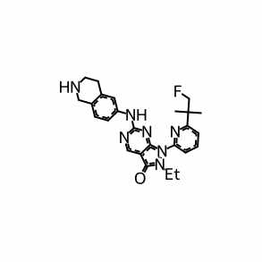 CCn1c(=O)c2cnc(Nc3ccc4c(c3)CCNC4)nc2n1-c1cccc(C(C)(C)CF)n1